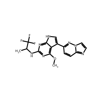 COc1nc(NC(C)C(F)(F)F)nc2[nH]cc(-c3ccc4nccn4n3)c12